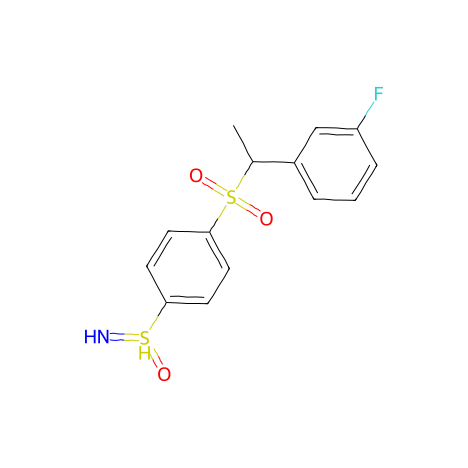 CC(c1cccc(F)c1)S(=O)(=O)c1ccc([SH](=N)=O)cc1